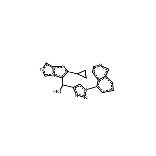 OC(c1cn(-c2cccc3cnccc23)nn1)c1c(C2CC2)sc2cncn12